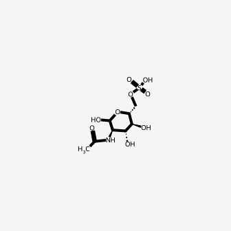 CC(=O)N[C@H]1C(O)O[C@H](COS(=O)(=O)O)[C@@H](O)[C@@H]1O